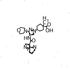 CC1(C(=O)O)CCC(n2cc(NC(=O)c3cnn4cccnc34)c(N3CCOCC3)n2)CC1